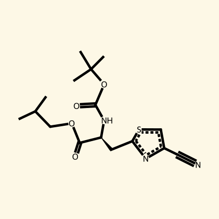 CC(C)COC(=O)[C@H](Cc1nc(C#N)cs1)NC(=O)OC(C)(C)C